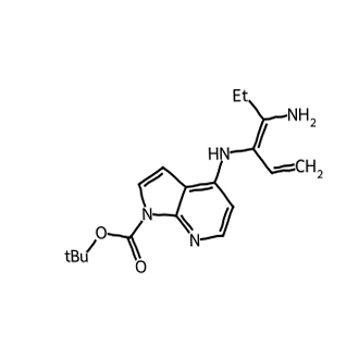 C=C/C(Nc1ccnc2c1ccn2C(=O)OC(C)(C)C)=C(\N)CC